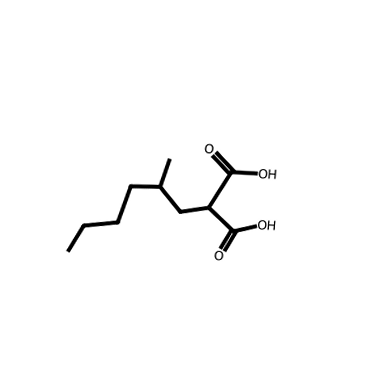 CCCCC(C)CC(C(=O)O)C(=O)O